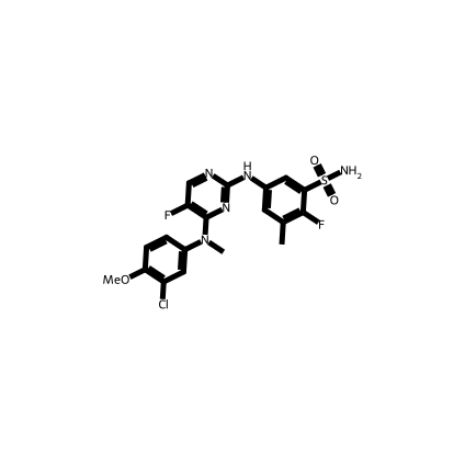 COc1ccc(N(C)c2nc(Nc3cc(C)c(F)c(S(N)(=O)=O)c3)ncc2F)cc1Cl